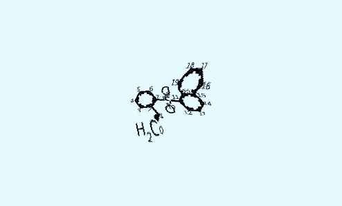 C=Cc1ccccc1S(=O)(=O)c1cccc2ccccc12